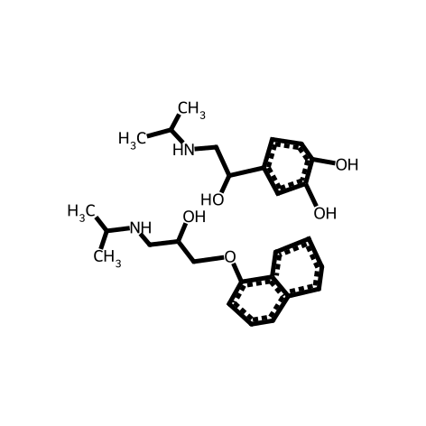 CC(C)NCC(O)COc1cccc2ccccc12.CC(C)NCC(O)c1ccc(O)c(O)c1